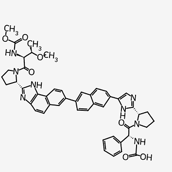 COC(=O)N[C@H](C(=O)N1CCC[C@H]1c1nc2ccc3cc(-c4ccc5cc(-c6cnc([C@@H]7CCCN7C(=O)[C@H](NC(=O)O)c7ccccc7)[nH]6)ccc5c4)ccc3c2[nH]1)[C@@H](C)OC